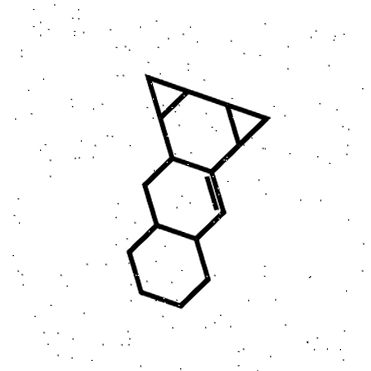 C1=C2C3CC3C3CC3C2CC2CCCCC12